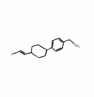 CCc1ccc(C2CCC(C=CF)CC2)cc1